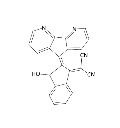 N#CC(C#N)=C1C(=C2c3cccnc3-c3ncccc32)C(O)c2ccccc21